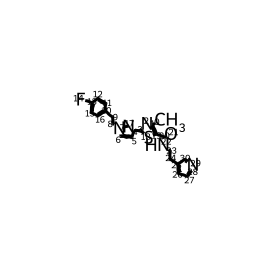 Cc1nc(-c2ccn(CCc3ccc(F)cc3)n2)sc1C(=O)NCCc1cccnc1